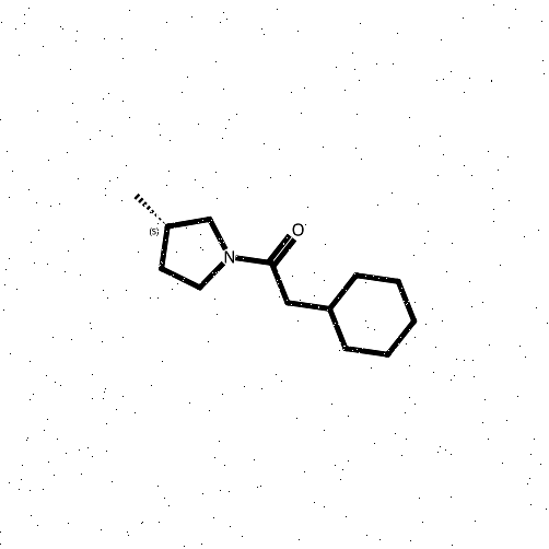 C[C@H]1CCN(C(=O)CC2CCCCC2)C1